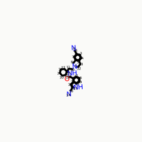 N#Cc1ccc2c(c1)CN(CCC1(NC(=O)c3cccc4[nH]c(C#N)cc34)CCCCC1)CC2